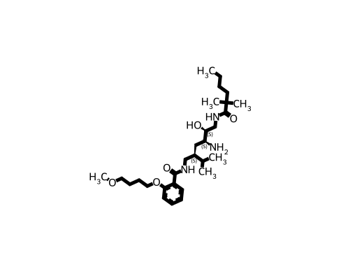 CCCCC(C)(C)C(=O)NC[C@H](O)[C@@H](N)C[C@H](CNC(=O)c1ccccc1OCCCCOC)C(C)C